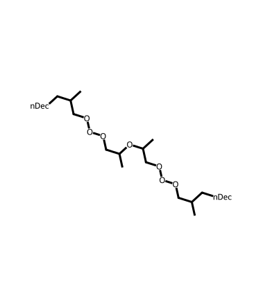 CCCCCCCCCCCC(C)COOOCC(C)OC(C)COOOCC(C)CCCCCCCCCCC